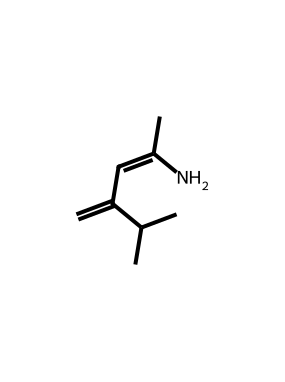 C=C(/C=C(/C)N)C(C)C